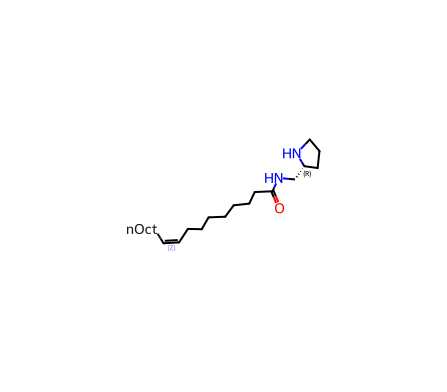 CCCCCCCC/C=C\CCCCCCCC(=O)NC[C@H]1CCCN1